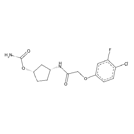 NC(=O)O[C@H]1CC[C@@H](NC(=O)COc2ccc(Cl)c(F)c2)C1